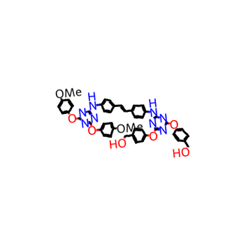 COc1ccc(Oc2nc(Nc3ccc(C=Cc4ccc(Nc5nc(Oc6ccc(CO)cc6)nc(Oc6ccc(CO)cc6)n5)cc4)cc3)nc(Oc3ccc(OC)cc3)n2)cc1